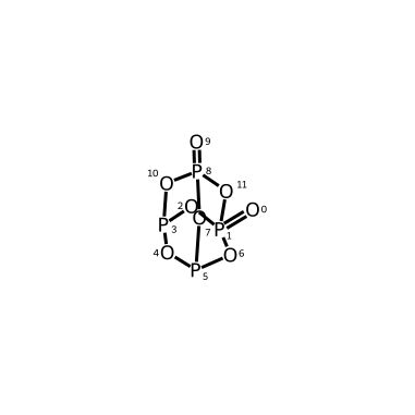 O=P12OP3OP(O1)OP(=O)(O3)O2